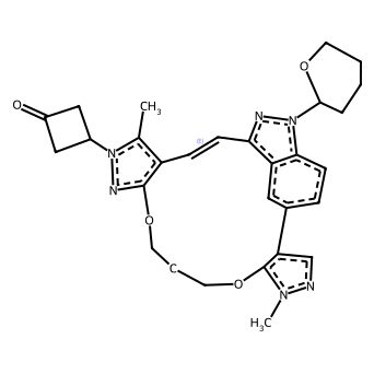 Cc1c2c(nn1C1CC(=O)C1)OCCCOc1c(cnn1C)-c1ccc3c(c1)c(nn3C1CCCCO1)/C=C/2